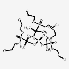 CC(C)(OP(=O)(OC(C)(C)P(=O)(OCCCl)OCCCl)OC(C)(C)P(=O)(OCCCl)OCCCl)P(=O)(OCCCl)OCCCl